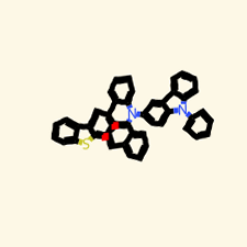 c1ccc(-n2c3ccccc3c3cc(N(c4ccccc4-c4ccc5sc6ccccc6c5c4)c4cccc5ccccc45)ccc32)cc1